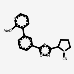 COc1ncccc1-c1cccc(-c2nc(C3CCCN3C#N)no2)c1